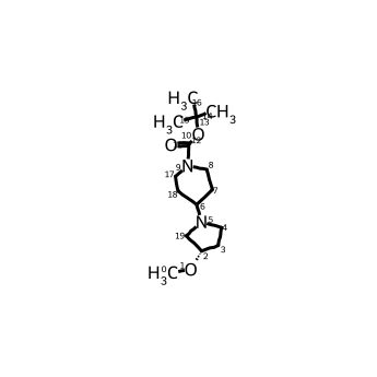 CO[C@H]1CCN(C2CCN(C(=O)OC(C)(C)C)CC2)C1